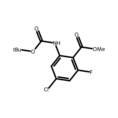 COC(=O)c1c(F)cc(Cl)cc1NC(=O)OC(C)(C)C